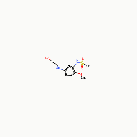 COc1ccc(NCCO)cc1NS(C)(=O)=O